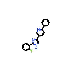 Fc1ccccc1-c1nc(-c2ccc(-c3ccccc3)nc2)c[nH]1